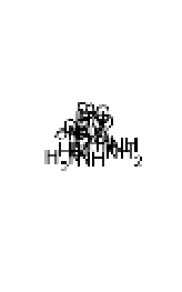 N=C(N)NCCC[C@H](NC(=O)CNC(=O)c1ccccc1)C(=O)N[C@@H](CCCNC(=N)N)C(=O)NC(=O)c1ccc2ccccc2c1